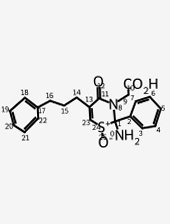 NC1(c2ccccc2)N(CC(=O)O)C(=O)C(CCCc2ccccc2)=C[S+]1[O-]